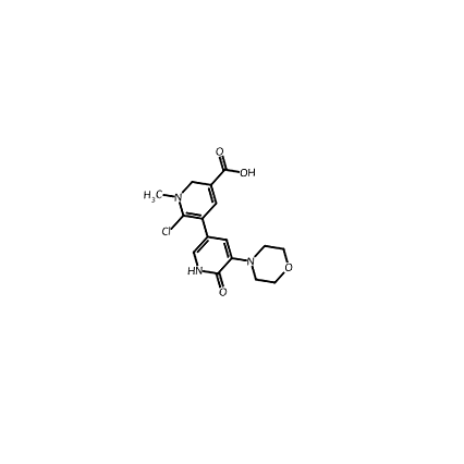 CN1CC(C(=O)O)=CC(c2c[nH]c(=O)c(N3CCOCC3)c2)=C1Cl